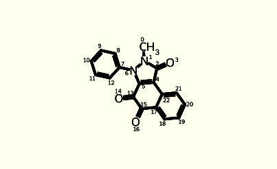 Cn1c(=O)c2c(n1-c1ccccc1)C(=O)C(=O)c1ccccc1-2